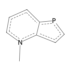 Cn1cccc2pccc1-2